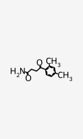 Cc1ccc(C(=O)CCC(N)=O)c(C)c1